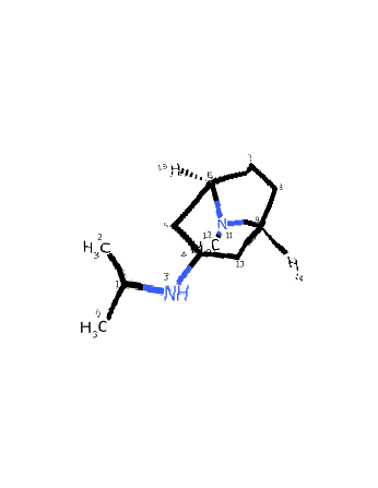 CC(C)NC1C[C@H]2CC[C@H](C1)N2C